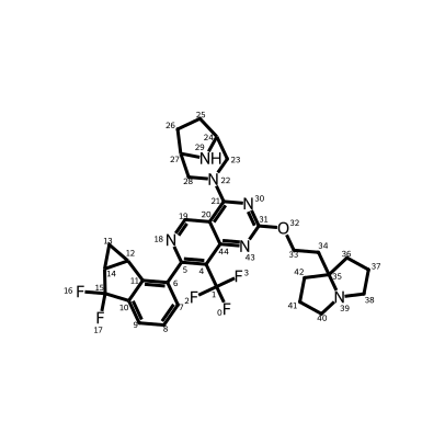 FC(F)(F)c1c(-c2cccc3c2C2CC2C3(F)F)ncc2c(N3CC4CCC(C3)N4)nc(OCCC34CCCN3CCC4)nc12